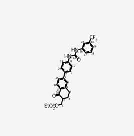 CCOC(=O)CC1CCc2cc(-c3ccc(NC(=O)Nc4cccc(C(F)(F)F)c4)cc3)ccc2C1=O